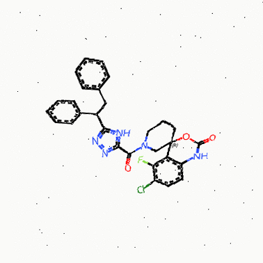 O=C1Nc2ccc(Cl)c(F)c2[C@@]2(CCCN(C(=O)c3nnc(C(Cc4ccccc4)c4ccccc4)[nH]3)C2)O1